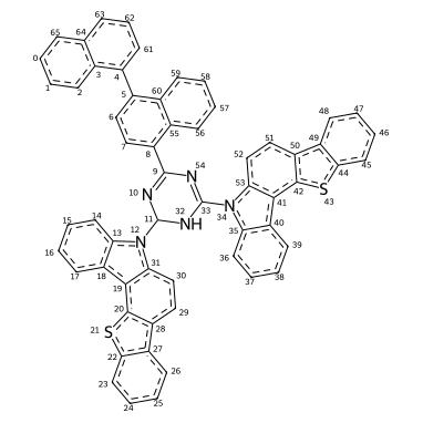 c1ccc2c(-c3ccc(C4=NC(n5c6ccccc6c6c7sc8ccccc8c7ccc65)NC(n5c6ccccc6c6c7sc8ccccc8c7ccc65)=N4)c4ccccc34)cccc2c1